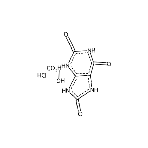 Cl.O=C(O)O.O=c1[nH]c(=O)c2[nH]c(=O)[nH]c2[nH]1